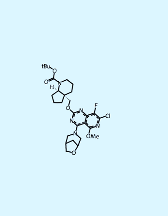 COc1nc(Cl)c(F)c2nc(OC[C@]34CCC[C@H]3N(C(=O)OC(C)(C)C)CCC4)nc(N3CC4COC(C4)C3)c12